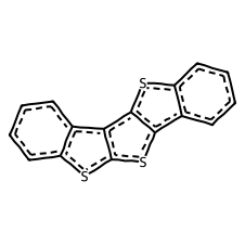 c1ccc2c(c1)sc1c2sc2sc3ccccc3c21